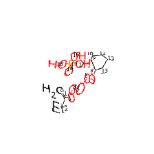 C=C(CC)OOOOOC1CCCCC1.O=P(O)(O)O